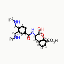 CC(C)NCc1ccc(C(=O)NC2Cc3cccc(C(=O)O)c3OB2O)cc1CNC(C)C